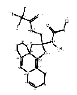 CN(C(=O)CCl)C1(CNC(=O)C(F)(F)F)CC23CCCCC2=CN2C=CCCC2=C3O1